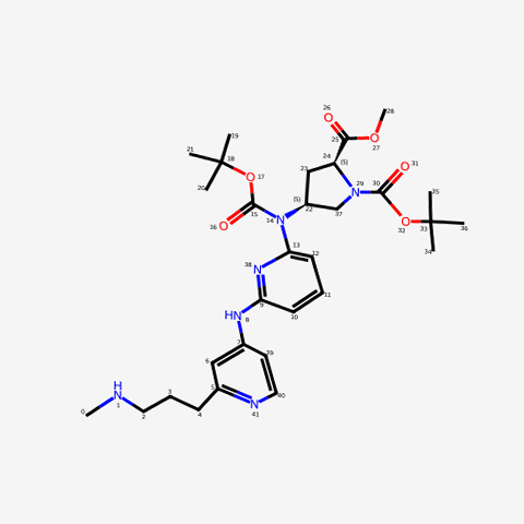 CNCCCc1cc(Nc2cccc(N(C(=O)OC(C)(C)C)[C@H]3C[C@@H](C(=O)OC)N(C(=O)OC(C)(C)C)C3)n2)ccn1